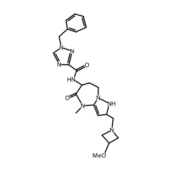 COC1CN(CC2C=C3N(CCC(NC(=O)c4ncn(Cc5ccccc5)n4)C(=O)N3C)N2)C1